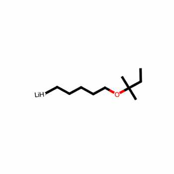 [CH2]CCCCCOC(C)(C)CC.[LiH]